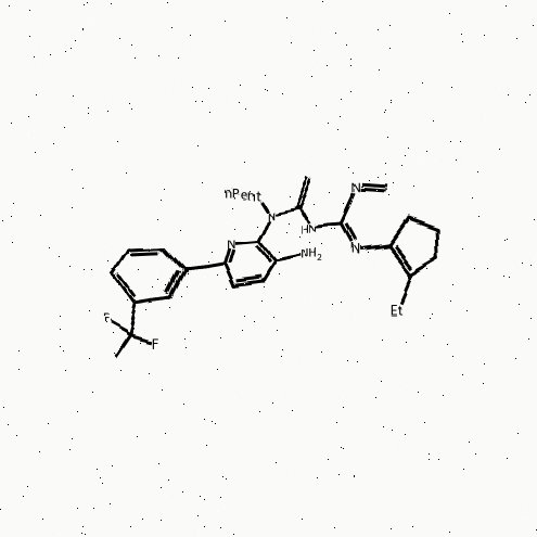 C=N/C(=N\C1=C(CC)CCC1)NC(=C)N(CCCCC)c1nc(-c2cccc(C(C)(F)F)c2)ccc1N